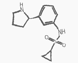 O=S(=O)(Nc1cccc([C@H]2CCCN2)c1)C1CC1